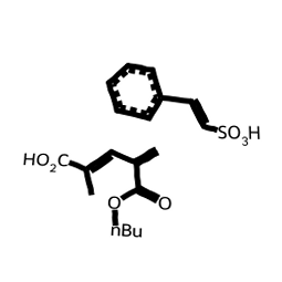 C=C(C=C(C)C(=O)O)C(=O)OCCCC.O=S(=O)(O)C=Cc1ccccc1